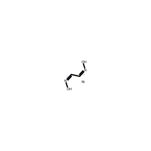 O/N=C\C=N/O.[Ni]